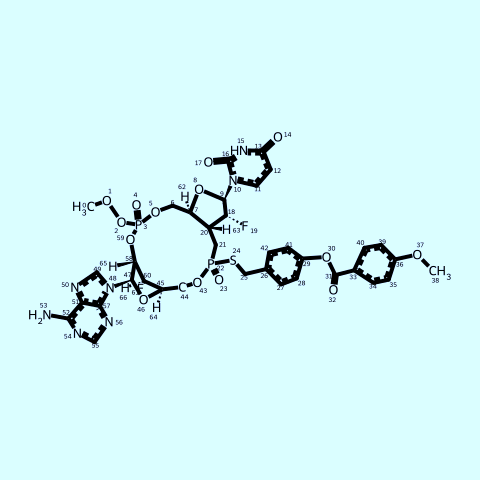 COOP1(=O)OC[C@H]2O[C@@H](n3ccc(=O)[nH]c3=O)[C@H](F)[C@@H]2CP(=O)(SCc2ccc(OC(=O)c3ccc(OC)cc3)cc2)OC[C@H]2O[C@@H](n3cnc4c(N)ncnc43)[C@H](O1)[C@@H]2F